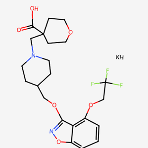 O=C(O)C1(CN2CCC(COc3noc4cccc(OCC(F)(F)F)c34)CC2)CCOCC1.[KH]